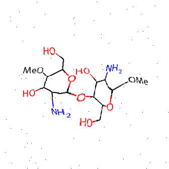 COC1OC(CO)C(OC2OC(CO)C(OC)C(O)C2N)C(O)C1N